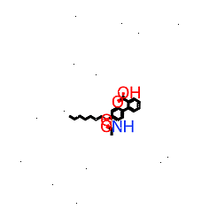 CCCCCCCOc1ccc(-c2ccccc2C(=O)O)cc1NC(C)=O